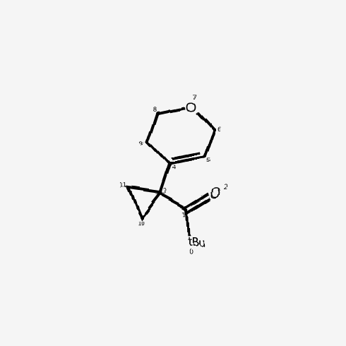 CC(C)(C)C(=O)C1(C2=CCOCC2)CC1